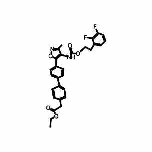 CCOC(=O)Cc1ccc(-c2ccc(-c3onc(C)c3NC(=O)OCCc3cccc(F)c3F)cc2)cc1